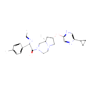 O=C(C(/N=C/C(F)(F)F)c1ccc(C(F)(F)F)cc1)N1CCN2C[C@H](Oc3cnc(C4CC4)cn3)C[C@H]2C1